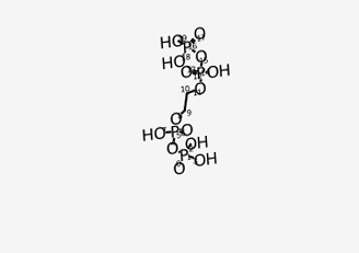 O=P(O)(O)OP(=O)(O)OCCOP(=O)(O)OP(=O)(O)O